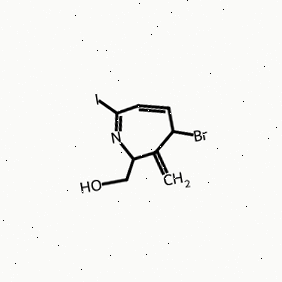 C=C1C(Br)C=CC(I)=NC1CO